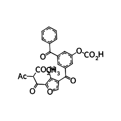 CC(=O)C(C(=O)O)C(=O)c1occ(C(=O)c2cc(OC(=O)O)cc(C(=O)c3ccccc3)c2)c1C